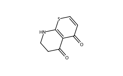 O=C1CCNc2sccc(=O)c21